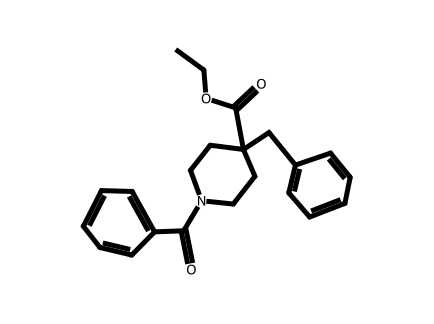 CCOC(=O)C1(Cc2ccccc2)CCN(C(=O)c2ccccc2)CC1